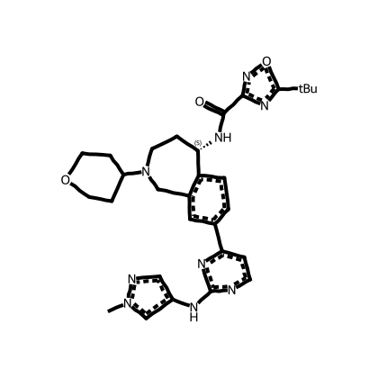 Cn1cc(Nc2nccc(-c3ccc4c(c3)CN(C3CCOCC3)CC[C@@H]4NC(=O)c3noc(C(C)(C)C)n3)n2)cn1